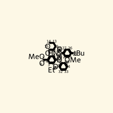 CCOc1cc(C(=O)OC)c(OC2CCCCO2)c(NS(=O)(=O)c2ccc(C(C)(C)C)cc2)c1Oc1ccccc1OC